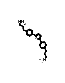 NCCCc1ccc(-c2ccc(-c3ccc(CCCN)cc3)s2)cc1